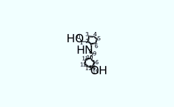 OCc1ccccc1NCc1cccc(O)c1